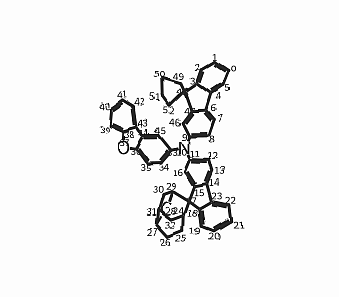 c1ccc2c(c1)-c1ccc(N(c3ccc4c(c3)C3(c5ccccc5-4)C4CCC5CC3CC5C4)c3ccc4oc5ccccc5c4c3)cc1C21CCCC1